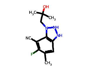 Cc1cc2c(c(C#N)c1F)N(CC(C)(C)O)NN2